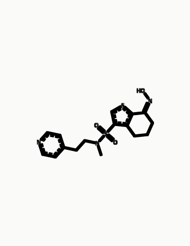 CN(CCc1ccncc1)S(=O)(=O)c1csc2c1CCC/C2=N/O